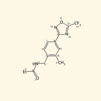 CCC(=O)NCc1ccc(-c2noc(C(F)(F)F)n2)cc1C